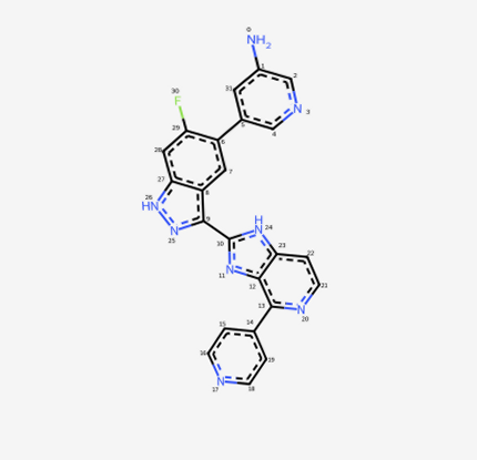 Nc1cncc(-c2cc3c(-c4nc5c(-c6ccncc6)nccc5[nH]4)n[nH]c3cc2F)c1